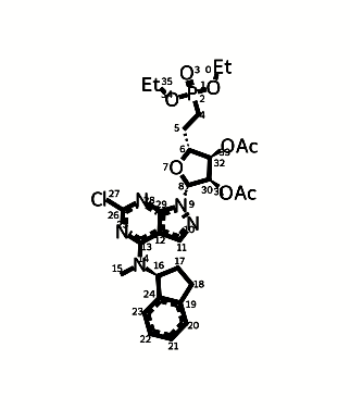 CCOP(=O)(CC[C@H]1O[C@@H](n2ncc3c(N(C)[C@H]4CCc5ccccc54)nc(Cl)nc32)[C@H](OC(C)=O)[C@@H]1OC(C)=O)OCC